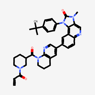 C=CC(=O)N1CCCC(C(=O)N2CCCc3cc(-c4ccc5ncc6c(c5c4)n(-c4ccc(C(C)(C)C#N)cc4)c(=O)n6C)cnc32)C1